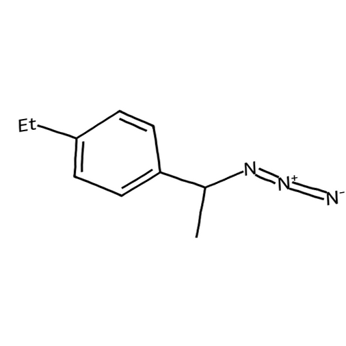 CCc1ccc(C(C)N=[N+]=[N-])cc1